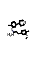 COc1cc(CC/C(N)=N\c2cc(-c3ccncc3)ccc2C)ccc1C